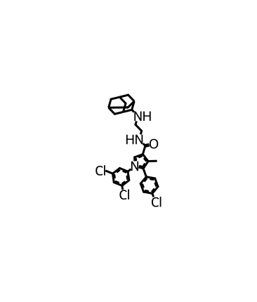 Cc1c(C(=O)NCCNC2C3CC4CC(C3)CC2C4)cn(-c2cc(Cl)cc(Cl)c2)c1-c1ccc(Cl)cc1